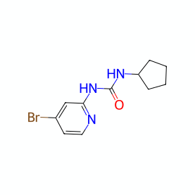 O=C(Nc1cc(Br)ccn1)NC1CCCC1